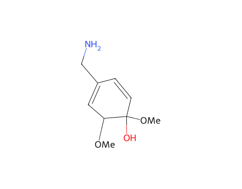 COC1C=C(CN)C=CC1(O)OC